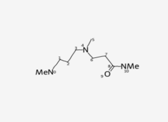 CNCCCN(C)CCC(=O)NC